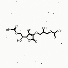 CCCC(=O)OCC(O)COC1=C(O)[C@@H]([C@@H](O)COC(=O)CCC)OC1=O